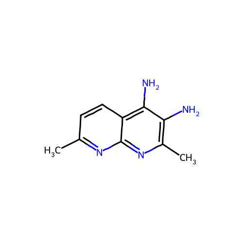 Cc1ccc2c(N)c(N)c(C)nc2n1